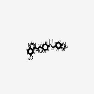 COc1ccc2ncnc(CCC3(O)CCC(NCc4ccc5nsnc5c4)CC3)c2c1